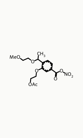 COCCOC(C)c1ccc(C(=O)O[N+](=O)[O-])cc1OCCOC(C)=O